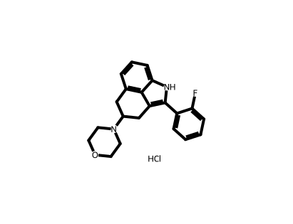 Cl.Fc1ccccc1-c1[nH]c2cccc3c2c1CC(N1CCOCC1)C3